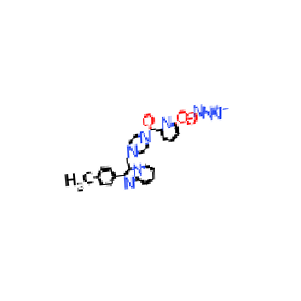 Cc1ccc(-c2nc3ccccn3c2CN2CCN(C(=O)c3cccc(OON=[N+]=[N-])n3)CC2)cc1